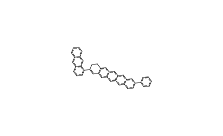 C1=C(c2cccc3cc4ccccc4cc23)CCc2cc3cc4cc5cc(-c6ccccc6)ccc5cc4cc3cc21